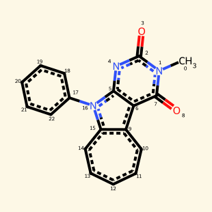 Cn1c(=O)nc2c(c1=O)c1cccccc1n2-c1ccccc1